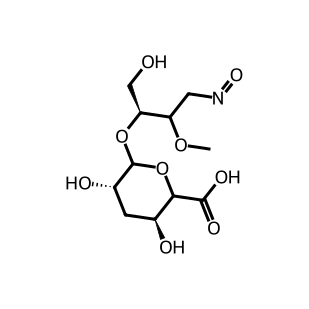 COC(CN=O)[C@H](CO)OC1OC(C(=O)O)[C@@H](O)C[C@@H]1O